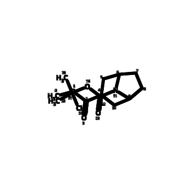 COC(=O)C1CC2CCC(C1)N2C(=O)OC(C)(C)C